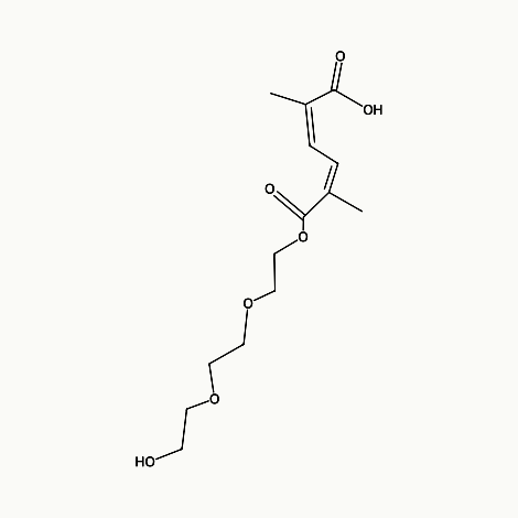 CC(=CC=C(C)C(=O)OCCOCCOCCO)C(=O)O